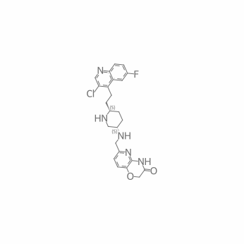 O=C1COc2ccc(CN[C@H]3CC[C@H](CCc4c(Cl)cnc5ccc(F)cc45)NC3)nc2N1